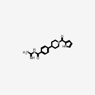 N=C(N)NC(=O)c1ccc(C2CCN(C(=O)c3ccc[nH]3)CC2)cc1